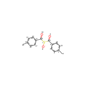 Cc1ccc(C(=O)[S+]([O-])C(=O)c2ccc(C)cc2)cc1